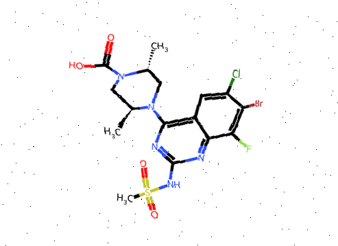 C[C@@H]1CN(c2nc(NS(C)(=O)=O)nc3c(F)c(Br)c(Cl)cc23)[C@@H](C)CN1C(=O)O